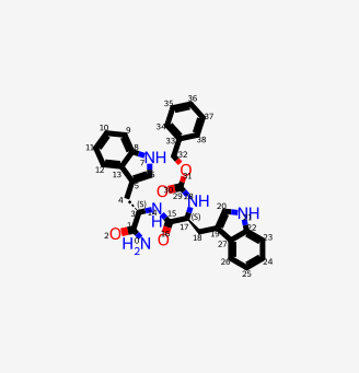 NC(=O)[C@H](Cc1c[nH]c2ccccc12)NC(=O)[C@H](Cc1c[nH]c2ccccc12)NC(=O)OCc1ccccc1